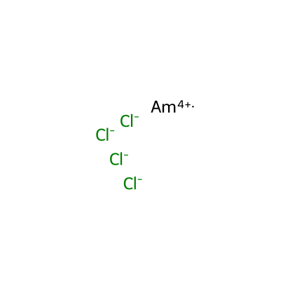 [Am+4].[Cl-].[Cl-].[Cl-].[Cl-]